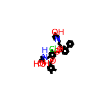 Cc1ccc(COc2cc(OC[C@@]3(OCCCN4CCC(O)C4)C=CC=C(c4ccccc4)C3(C)C)c(Cl)cc2CNC(C)(CO)CO)cc1C